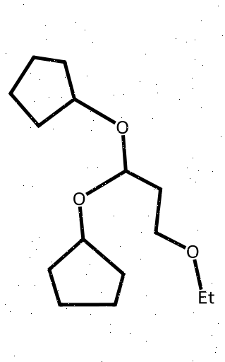 [CH2]COCCC(OC1CCCC1)OC1CCCC1